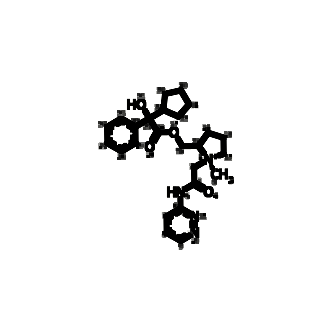 C[N@+]1(CC(=O)Nc2cccnn2)CCCC1COC(=O)C(O)(c1ccccc1)C1CCCC1